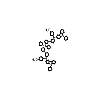 Cc1ccc(N(c2cccc(-c3cccc([Si](c4ccccc4)(c4ccccc4)c4cccc(-c5cccc(N(c6ccc(C)cc6)c6ccc7c(c6)c6ccccc6n7-c6ccccc6)c5)c4)c3)c2)c2ccc3c(c2)c2ccccc2n3-c2ccccc2)cc1